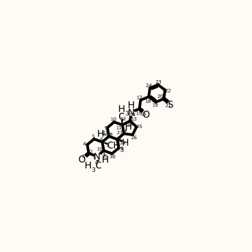 CN1C(=O)CC[C@]2(C)[C@H]3CC[C@]4(C)C(NC(=O)CC5=CC(=S)CC=C5)CC[C@H]4[C@@H]3CC[C@@H]12